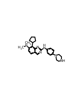 CN(C)c1ccc2cnc(Nc3ccc(N4CCNCC4)cc3)nc2c1C1CCCC1